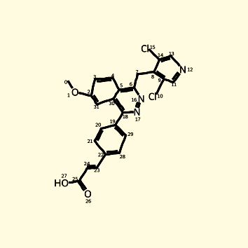 COc1ccc2c(Cc3c(Cl)cncc3Cl)nnc(-c3ccc(C=CC(=O)O)cc3)c2c1